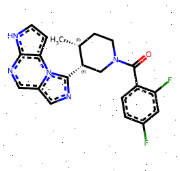 C[C@@H]1CCN(C(=O)c2ccc(F)cc2F)C[C@@H]1c1ncc2cnc3[nH]ccc3n12